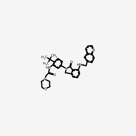 CC(C)(C)c1ccc(N2Cc3cccc(NCc4ccc5ncccc5c4)c3C2=O)cc1NC(=O)CN1CCOCC1